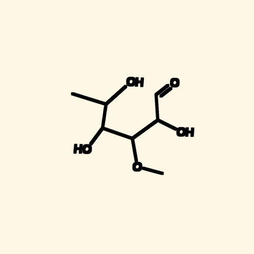 COC(C(O)C=O)C(O)C(C)O